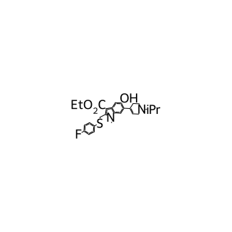 CCOC(=O)c1c(CSc2ccc(F)cc2)n(C)c2cc(C3=CCN(C(C)C)CC3)c(O)cc12